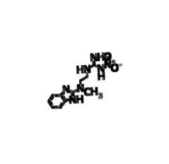 CN(CCNC(=N)N[N+](=O)[O-])c1nc2ccccc2[nH]1